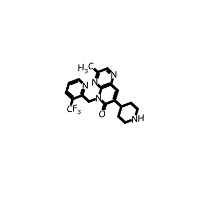 Cc1cnc2cc(C3CCNCC3)c(=O)n(Cc3ncccc3C(F)(F)F)c2n1